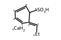 CCC=C1C=CC=CC1S(=O)(=O)O.[CaH2]